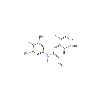 C=C/C=C(/C=C(C(=C)C(C)CCC)/C(C)=C\CC)N(C)c1cc(C(C)C)c(C)c(C(C)C)c1